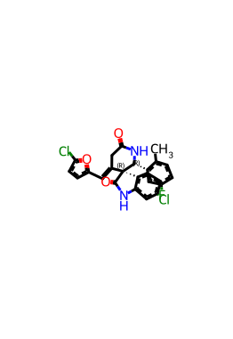 Cc1ccc(F)cc1[C@H]1NC(=O)CC(=Cc2ccc(Cl)o2)[C@]12C(=O)Nc1cc(Cl)ccc12